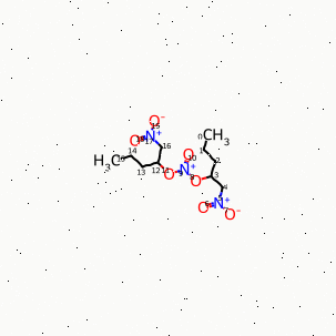 CCCC(C[N+](=O)[O-])O[N+](=O)OC(CCC)C[N+](=O)[O-]